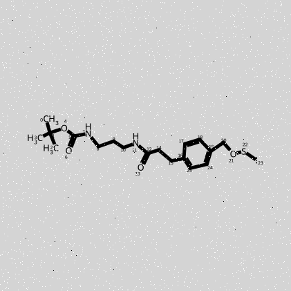 CC(C)(C)OC(=O)NCCCNC(=O)CCc1ccc(COSI)cc1